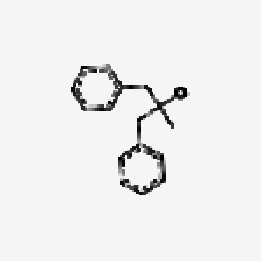 CC([O])(Cc1ccccc1)Cc1ccccc1